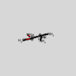 NCCCNCCCC(NCCCN)C(=O)NCCCCCCNC(=O)C(CCCNCCCN)NCCCN